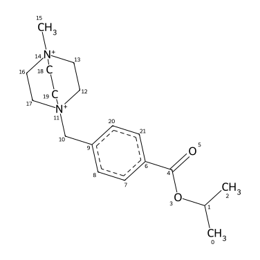 CC(C)OC(=O)c1ccc(C[N+]23CC[N+](C)(CC2)CC3)cc1